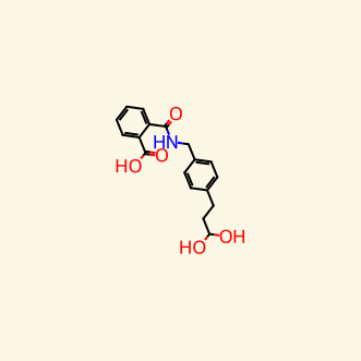 O=C(O)c1ccccc1C(=O)NCc1ccc(CCC(O)O)cc1